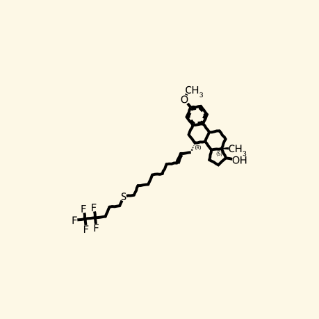 COc1ccc2c(c1)C[C@@H](CC=CCCCCCCSCCCC(F)(F)C(F)(F)F)C1C2CC[C@]2(C)C(O)CCC12